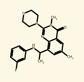 Cc1cc(C(C)Nc2cccc(F)c2)c2nc(N3CCOCC3)n(C)c(=O)c2c1